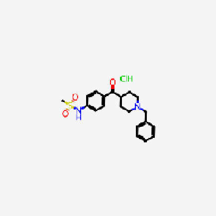 CS(=O)(=O)Nc1ccc(C(=O)C2CCN(Cc3ccccc3)CC2)cc1.Cl